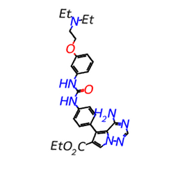 CCOC(=O)c1cn2ncnc(N)c2c1-c1ccc(NC(=O)Nc2cccc(OCCN(CC)CC)c2)cc1